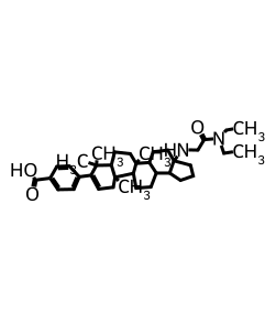 CCN(CC)C(=O)CNC12CCCC1C1CCC3C(C)(CCC4C(C)(C)C(c5ccc(C(=O)O)cc5)=CCC43C)C1CC2